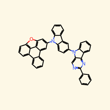 c1ccc(-c2ncc3c(n2)c2ccccc2n3-c2ccc3c(c2)c2ccccc2n3-c2cc3oc4cccc5c6ccccc6c(c2)c3c45)cc1